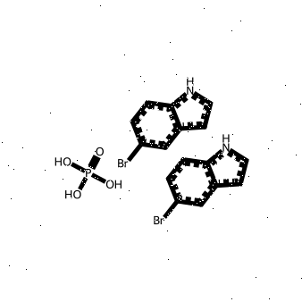 Brc1ccc2[nH]ccc2c1.Brc1ccc2[nH]ccc2c1.O=P(O)(O)O